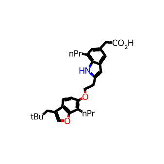 CCCc1cc(CC(=O)O)cc2cc(CCOc3ccc4c(CC(C)(C)C)coc4c3CCC)[nH]c12